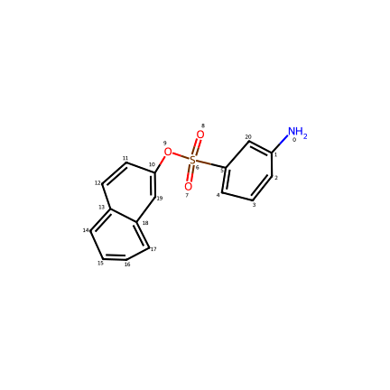 Nc1cccc(S(=O)(=O)Oc2ccc3ccccc3c2)c1